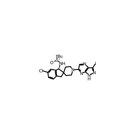 CC(C)(C)[S@@+]([O-])N[C@@H]1c2cc(Cl)ccc2CC12CCN(c1cnc3c(I)n[nH]c3n1)CC2